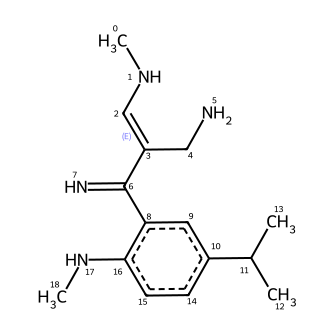 CN/C=C(\CN)C(=N)c1cc(C(C)C)ccc1NC